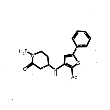 CC(=O)c1sc(-c2ccccc2)cc1NC1CCN(P)C(=O)C1